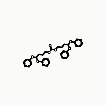 O=C(OCCCC(Oc1ccccc1)Oc1ccccc1)OCCCC(Oc1ccccc1)Oc1ccccc1